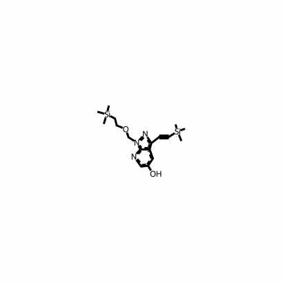 C[Si](C)(C)C#Cc1nn(COCC[Si](C)(C)C)c2ncc(O)cc12